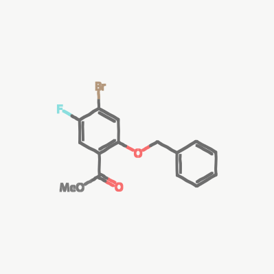 COC(=O)c1cc(F)c(Br)cc1OCc1ccccc1